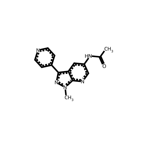 CC(=O)Nc1cnc2c(c1)c(-c1ccncc1)nn2C